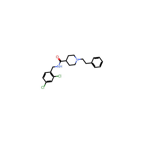 O=C(NCc1ccc(Cl)cc1Cl)C1CCN(CCc2ccccc2)CC1